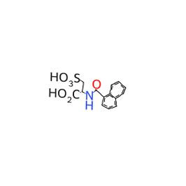 O=C(N[C@@H](CS(=O)(=O)O)C(=O)O)c1cccc2ccccc12